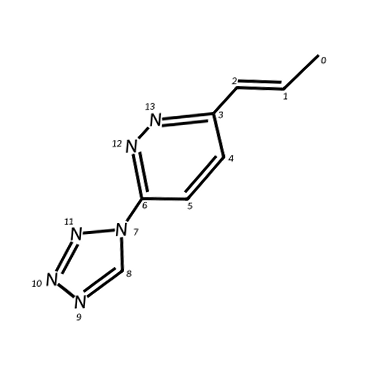 CC=Cc1ccc(-n2cnnn2)nn1